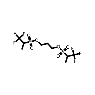 CC(C(F)(F)F)S(=O)(=O)OCCCOS(=O)(=O)C(C)C(F)(F)F